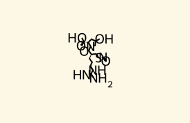 N=C(N)NCCC[C@H](CSN=O)C(=O)N1CC(O)C[C@H]1C(=O)O